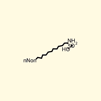 CCCCCCCCCCCCCCCCCCCCC(N)S(=O)O